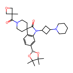 CC1(C(=O)N2CCC3(CC2)C(=O)N(C2CC(N4CCCCC4)C2)c2cc(B4OC(C)(C)C(C)(C)O4)ccc23)COC1